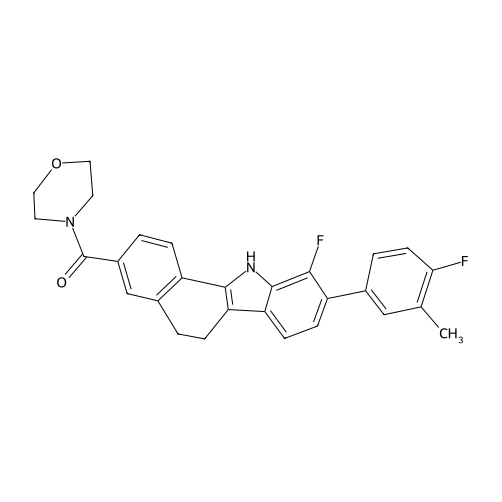 Cc1cc(-c2ccc3c4c([nH]c3c2F)-c2ccc(C(=O)N3CCOCC3)cc2CC4)ccc1F